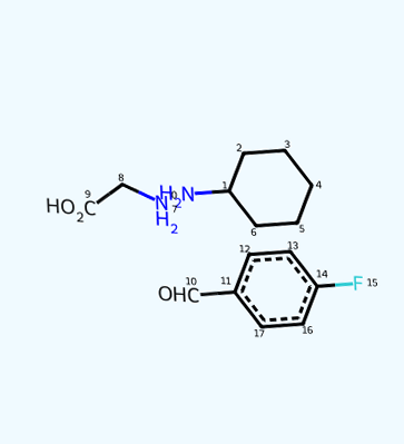 NC1CCCCC1.NCC(=O)O.O=Cc1ccc(F)cc1